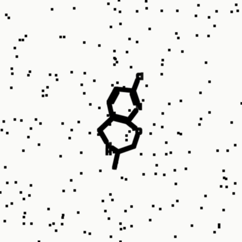 CC1COc2nc(Cl)ccc2CN1